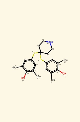 CC(C)(C)c1cc(SC2(Sc3cc(C(C)(C)C)c(O)c(C(C)(C)C)c3)CCNCC2)cc(C(C)(C)C)c1O